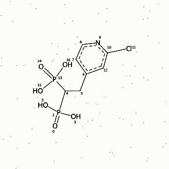 O=P(O)(O)C(Cc1ccnc(Cl)c1)P(=O)(O)O